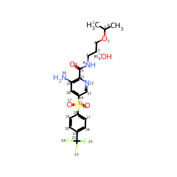 CC(C)OC[C@H](O)CNC(=O)c1ncc(S(=O)(=O)c2ccc(C(F)(F)F)cc2)cc1N